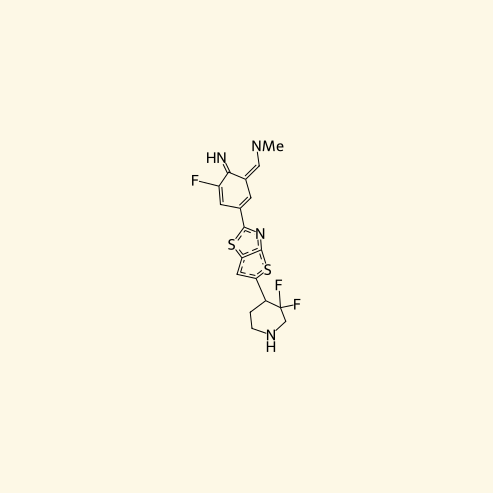 CN/C=C1/C=C(c2nc3sc(C4CCNCC4(F)F)cc3s2)C=C(F)C1=N